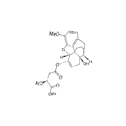 COc1ccc2c3c1O[C@H]1C(OC(=O)C[C@H](OC(C)=O)C(=O)OCC(C)C)=CC[C@@]4(O)[C@H](CCCC314)C2